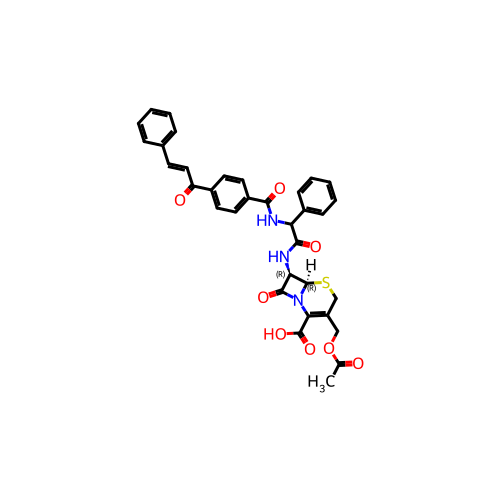 CC(=O)OCC1=C(C(=O)O)N2C(=O)[C@@H](NC(=O)C(NC(=O)c3ccc(C(=O)C=Cc4ccccc4)cc3)c3ccccc3)[C@H]2SC1